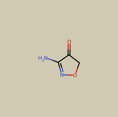 NC1=NOCC1=O